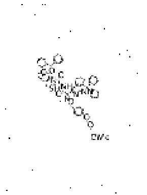 COCCOCOc1ccc(CO/N=C(/C(=O)N[C@@H]2C(=O)N3C(C(=O)OC(c4ccccc4)c4ccccc4)=C(CCl)CS[C@H]23)c2csc(NC(c3ccccc3)(c3ccccc3)c3ccccc3)n2)cc1